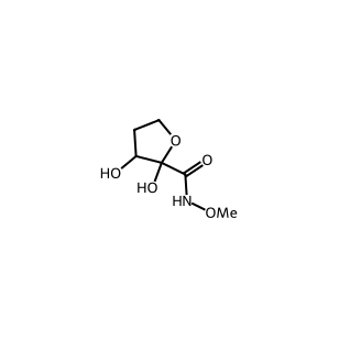 CONC(=O)C1(O)OCCC1O